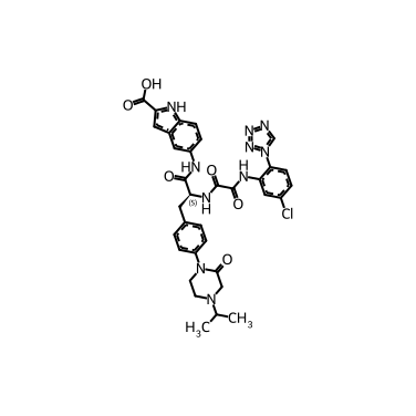 CC(C)N1CCN(c2ccc(C[C@H](NC(=O)C(=O)Nc3cc(Cl)ccc3-n3cnnn3)C(=O)Nc3ccc4[nH]c(C(=O)O)cc4c3)cc2)C(=O)C1